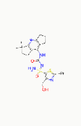 CC(C)c1nc(CO)c(S(N)(=O)=NC(=O)Nc2c3c(nc4c2CCC4(C)C)CCC3)s1